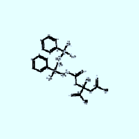 C[N+](C)(C)c1ccccc1.C[N+](C)(C)c1ccccc1.O=C(O)CC(O)(CC(=O)O)C(=O)O